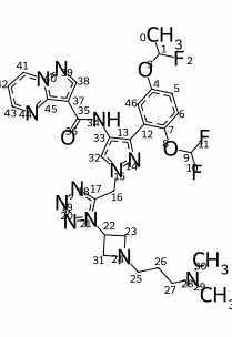 CC(F)Oc1ccc(OC(F)F)c(-c2nn(Cc3nnnn3C3CN(CCCN(C)C)C3)cc2NC(=O)c2cnn3cccnc23)c1